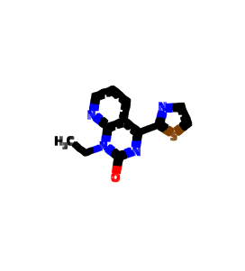 CCn1c(=O)nc(-c2nccs2)c2cccnc21